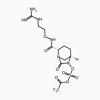 N=C(N)NCCONC(=O)[C@@H]1CC[C@@H]2CN1C(=O)N2OS(=O)(=O)OC(=O)C(F)(F)F